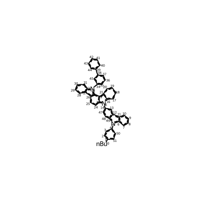 CCCCc1ccc(-n2c3ccccc3c3cc(-n4c5ccccc5c5c4ccc4c6ccccc6n(-c6cccc(-c7ccccc7)c6)c45)ccc32)cc1